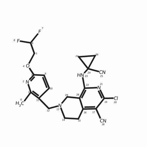 Cc1nc(OCC(F)F)ccc1CN1CCc2c(C#N)c(Cl)nc(NC3(C#N)CC3)c2C1